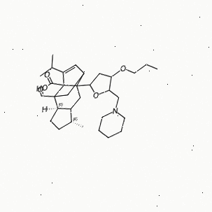 CCCOC1CC(C23CC4[C@H](C)CC[C@H]4C4(C=O)CC2C=C(C(C)C)C34C(=O)O)OC1CN1CCCCC1